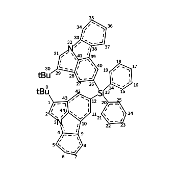 CC(C)(C)c1cn2c3ccccc3c3cc([Si](c4ccccc4)(c4ccccc4)c4cc5c(C(C)(C)C)cn6c7ccccc7c(c4)c56)cc1c32